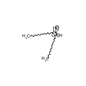 CCCCCCCCCCCCC=CC[C@@H](O)[C@@H](CN1CCCC1)NC(=O)CCCCCCCCCCCCCCC